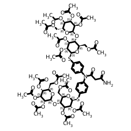 CC(=O)OC[C@H]1O[C@@H](Sc2ccc(N(C(=O)CC(N)=O)c3ccc(S[C@@H]4O[C@H](COC(C)=O)[C@@H](O[C@H]5O[C@H](COC(C)=O)[C@@H](OC(C)=O)[C@H](OC(C)=O)[C@H]5OC(C)=O)[C@H](OC(C)=O)[C@H]4OC(C)=O)cc3)cc2)[C@H](OC(C)=O)[C@@H](OC(C)=O)[C@@H]1O[C@H]1O[C@H](COC(C)=O)[C@@H](OC(C)=O)[C@H](OC(C)=O)[C@H]1OC(C)=O